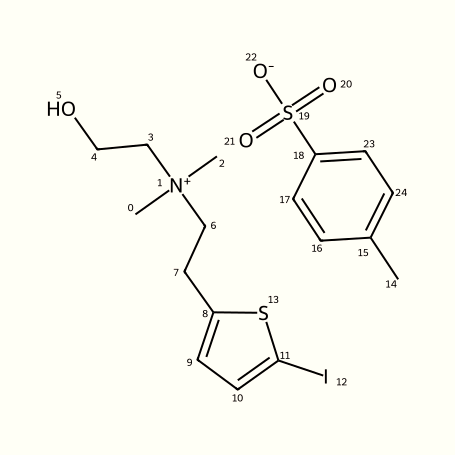 C[N+](C)(CCO)CCc1ccc(I)s1.Cc1ccc(S(=O)(=O)[O-])cc1